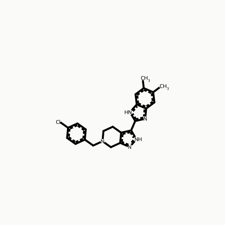 Cc1cc2nc(-c3[nH]nc4c3CCN(Cc3ccc(Cl)cc3)C4)[nH]c2cc1C